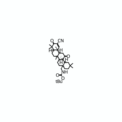 CC1(C)CC[C@]2(CNC(=O)OC(C)(C)C)CC[C@]3(C)[C@H](C(=O)C[C@@H]4[C@@]5(C)C=C(C#N)C(=O)C(C)(C)[C@@H]5CC[C@]43C)[C@@H]2C1